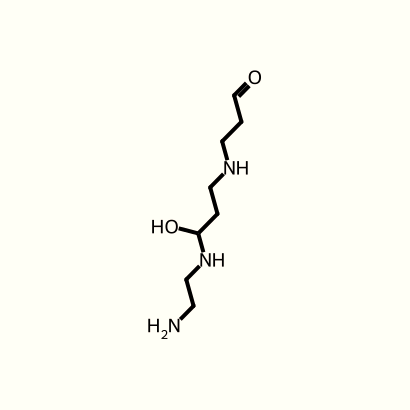 NCCNC(O)CCNCCC=O